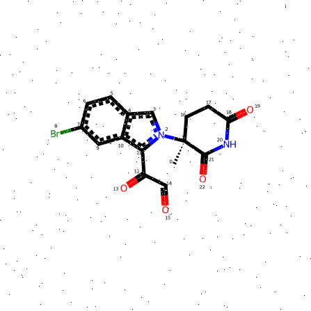 C[C@]1(n2cc3ccc(Br)cc3c2C(=O)C=O)CCC(=O)NC1=O